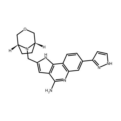 Nc1nc2cc(-c3cc[nH]n3)ccc2c2[nH]c(CN3[C@@H]4CC[C@H]3COC4)cc12